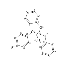 C[P+](Oc1ccccc1)(Oc1ccccc1)Oc1ccccc1.[Br-]